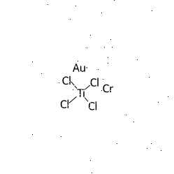 [Au].[Cl][Ti]([Cl])([Cl])[Cl].[Cr]